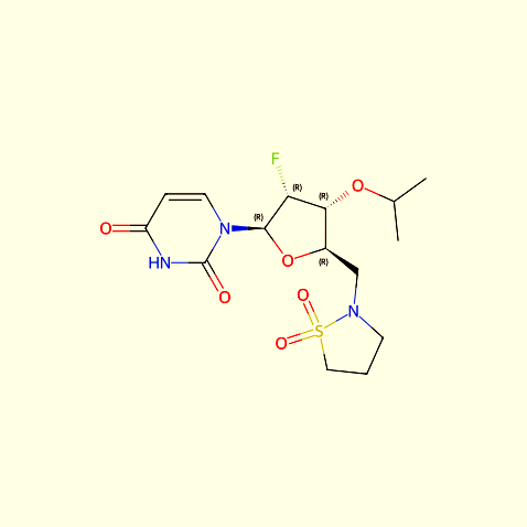 CC(C)O[C@H]1[C@@H](F)[C@H](n2ccc(=O)[nH]c2=O)O[C@@H]1CN1CCCS1(=O)=O